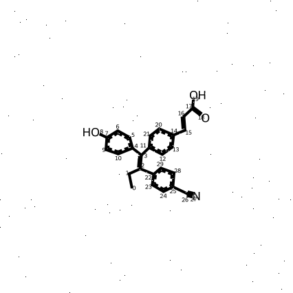 CC/C(=C(\c1ccc(O)cc1)c1ccc(/C=C/C(=O)O)cc1)c1ccc(C#N)cc1